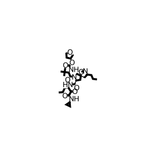 CCCC1=NO[C@]2(C1)C[C@@H](C(=O)N[C@@H](CCC)C(=O)C(=O)NC1CC1)N(C(=O)[C@@H](NC(=O)O[C@H]1CCOC1)C(C)(C)C)C2